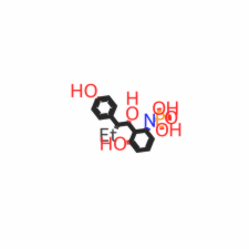 CCC(c1ccc(O)cc1)C(O)C1C(O)=CC=CC1=NP(=O)(O)O